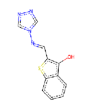 Oc1c(/C=N/n2cnnc2)sc2ccccc12